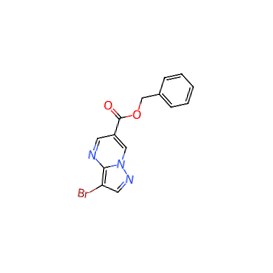 O=C(OCc1ccccc1)c1cnc2c(Br)cnn2c1